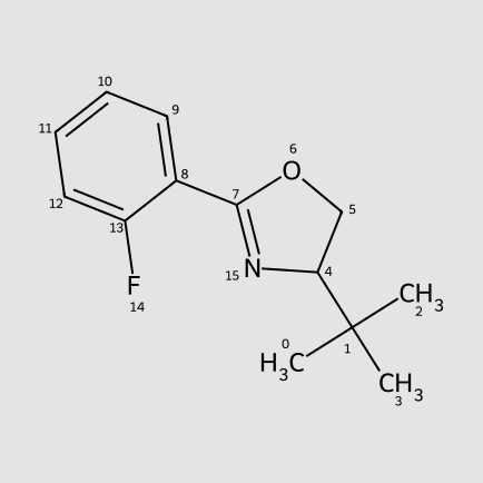 CC(C)(C)C1COC(c2ccccc2F)=N1